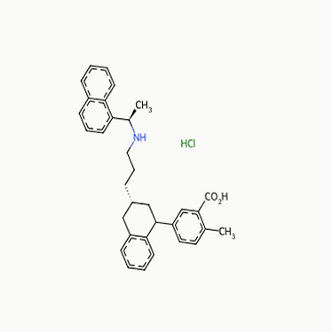 Cc1ccc(C2C[C@@H](CCCN[C@H](C)c3cccc4ccccc34)Cc3ccccc32)cc1C(=O)O.Cl